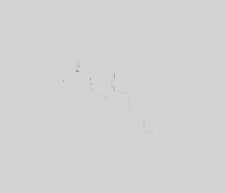 COCCCNc1cc2c(cc1Cl)C(=O)NCO2